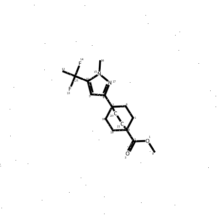 COC(=O)C12CCC(c3cc(C(C)(F)F)n(C)n3)(CC1)CC2